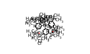 CC1=C(C)[C]([Ti+3])([Si](c2cc([Si](C)(C)C)cc([Si](C)(C)C)c2[Si](C)(C)C)(c2cc([Si](C)(C)C)cc([Si](C)(C)C)c2[Si](C)(C)C)c2cc([Si](C)(C)C)cc([Si](C)(C)C)c2[Si](C)(C)C)C(C)=C1C.[Cl-].[Cl-].[Cl-]